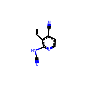 C=Cc1c(C#N)ccnc1NC#N